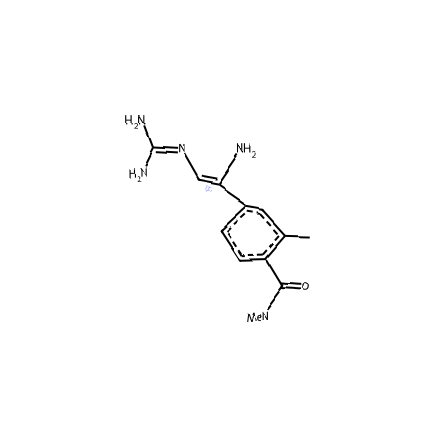 CNC(=O)c1ccc(/C(N)=C/N=C(N)N)cc1C